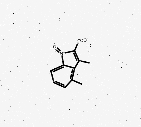 CC1=C(C(=O)[O-])[N+](=O)c2cccc(C)c21